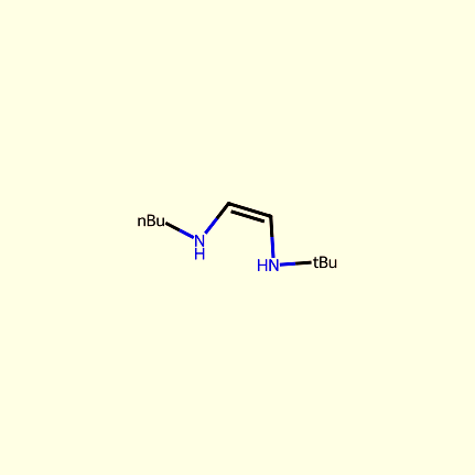 CCCCN/C=C\NC(C)(C)C